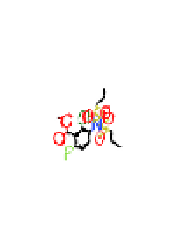 CCCS(=O)(=O)N(c1ccc(F)c(C(=O)OC)c1Cl)S(=O)(=O)CCC